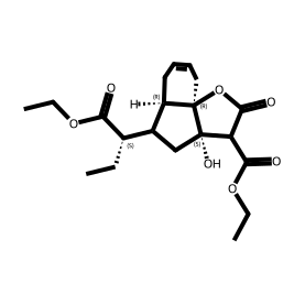 CCOC(=O)C1C(=O)O[C@]23CC=CC[C@@H]2C([C@H](CC)C(=O)OCC)C[C@]13O